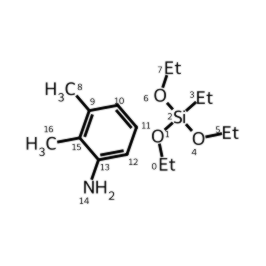 CCO[Si](CC)(OCC)OCC.Cc1cccc(N)c1C